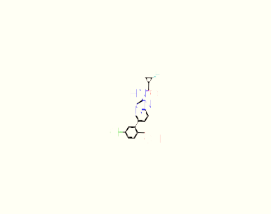 O=C(Nc1cn2cc(-c3cc(Cl)ccc3CO)ccc2n1)C1CC1F